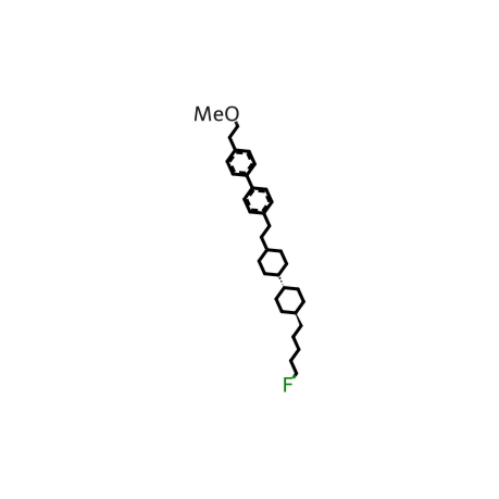 COCCc1ccc(-c2ccc(CCC3CCC([C@H]4CC[C@H](CCCCCF)CC4)CC3)cc2)cc1